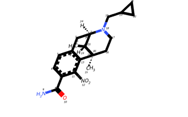 C[C@@H]1[C@H]2Cc3ccc(C(N)=O)c([N+](=O)[O-])c3[C@]1(C)CCN2CC1CC1